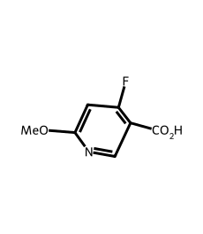 COc1cc(F)c(C(=O)O)cn1